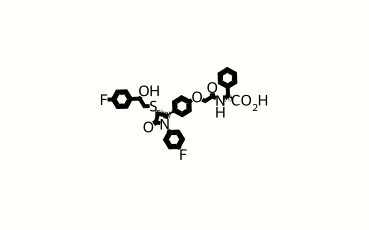 O=C(COc1ccc([C@@H]2[C@@H](SCC(O)c3ccc(F)cc3)C(=O)N2c2ccc(F)cc2)cc1)N[C@@H](C(=O)O)c1ccccc1